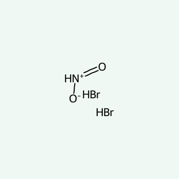 Br.Br.O=[NH+][O-]